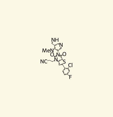 CNc1c(C=N)cncc1-n1c(=O)c2sc(-c3ccc(F)cc3Cl)cc2n(CCC#N)c1=O